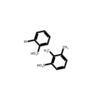 CC(C)c1ccccc1S(=O)(=O)O.Cc1cccc(S(=O)(=O)O)c1C